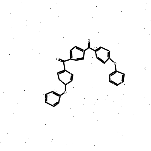 O=C(C1=CCC(Oc2ccccc2)C=C1)c1ccc(C(=O)c2ccc(Oc3ccccc3)cc2)cc1